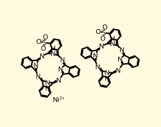 O=S(=O)([O-])c1cccc2c3nc4nc(nc5[nH]c(nc6nc(nc([nH]3)c12)-c1ccccc1-6)c1ccccc51)-c1ccccc1-4.O=S(=O)([O-])c1cccc2c3nc4nc(nc5[nH]c(nc6nc(nc([nH]3)c12)-c1ccccc1-6)c1ccccc51)-c1ccccc1-4.[Ni+2]